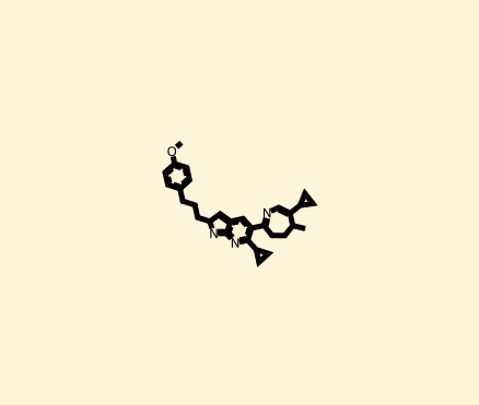 COc1ccc(CCCC2C=c3cc(C4=NC=C(C5CC5)C(C)CC4)c(C4CC4)nc3=N2)cc1